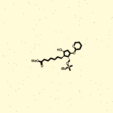 COC(=O)CCCCCC[C@@H]1[C@@H](CO[Si](C)(C)C(C)(C)C)[C@H](OC2CCCCO2)C[C@H]1O